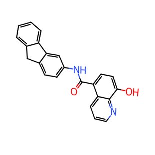 O=C(Nc1ccc2c(c1)-c1ccccc1C2)c1ccc(O)c2ncccc12